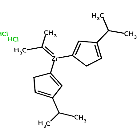 C[C](C)=[Zr]([C]1=CC(C(C)C)=CC1)[C]1=CC(C(C)C)=CC1.Cl.Cl